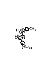 Cc1ccc(S(C)(=O)=NC(=O)c2cnn3c(C4CCN(C(=O)OC(C)(C)C)CC4)cc(=O)[nH]c23)cc1